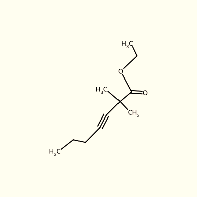 CCCC#CC(C)(C)C(=O)OCC